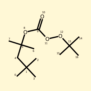 CC(C)(C)CC(C)(C)OC(=O)OOC(C)(C)C